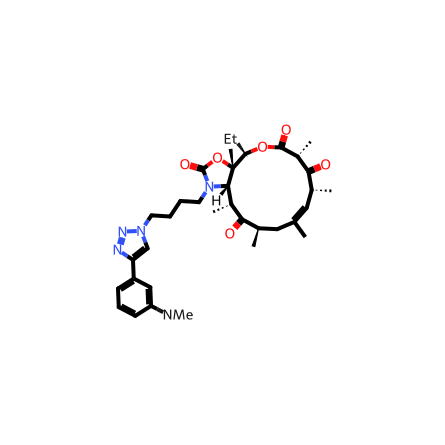 CC[C@H]1OC(=O)[C@H](C)C(=O)[C@H](C)/C=C(/C)C[C@@H](C)C(=O)[C@H](C)[C@@H]2N(CCCCn3cc(-c4cccc(NC)c4)nn3)C(=O)O[C@@]21C